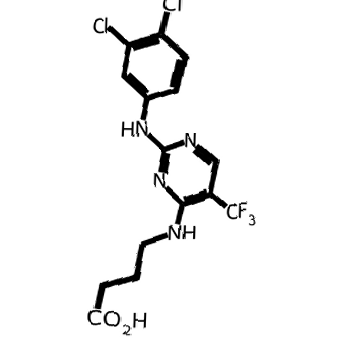 O=C(O)CCCNc1nc(Nc2ccc(Cl)c(Cl)c2)ncc1C(F)(F)F